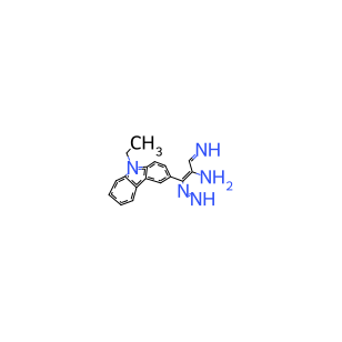 CCn1c2ccccc2c2cc(/C(N=N)=C(/N)C=N)ccc21